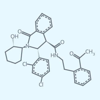 CC(=O)c1ccccc1CCNC(=O)[C@@H]1c2ccccc2C(=O)N([C@H]2CCCC[C@@H]2O)[C@H]1c1ccc(Cl)cc1Cl